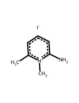 Cc1cccc(N)[n+]1C.[I-]